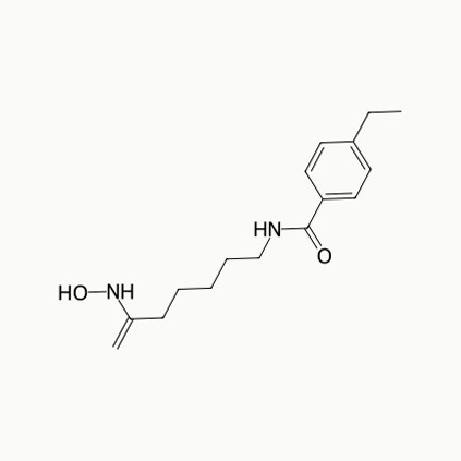 C=C(CCCCCNC(=O)c1ccc(CC)cc1)NO